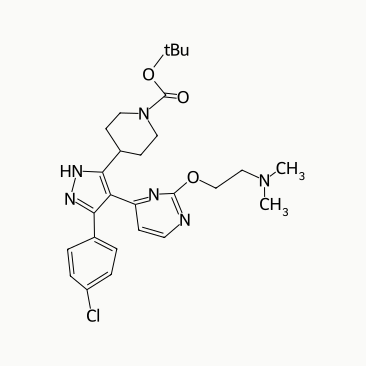 CN(C)CCOc1nccc(-c2c(-c3ccc(Cl)cc3)n[nH]c2C2CCN(C(=O)OC(C)(C)C)CC2)n1